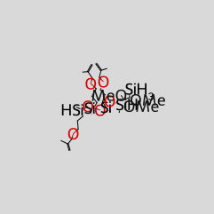 C=C(C)COCCC[SiH](C)O[Si](C)(CCCOCC(=C)C)O[Si](C)(CCCOCC(=C)C)O[SiH](C)C(OC)(OC)C([SiH3])OC